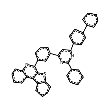 c1ccc(-c2ccc(-c3cc(-c4cccc(-c5nc6ccccc6c6c5sc5ccccc56)c4)nc(-c4ccccc4)n3)cc2)cc1